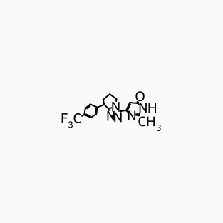 Cc1nc(-c2nnc3n2CCCC3c2ccc(C(F)(F)F)cc2)cc(=O)[nH]1